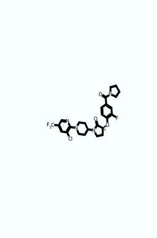 O=C(c1ccc(O[C@H]2CCN(C3CCN(c4ncc(C(F)(F)F)cc4Cl)CC3)C2=O)c(F)c1)N1CCCC1